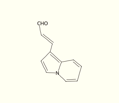 O=C/C=C/c1ccn2ccccc12